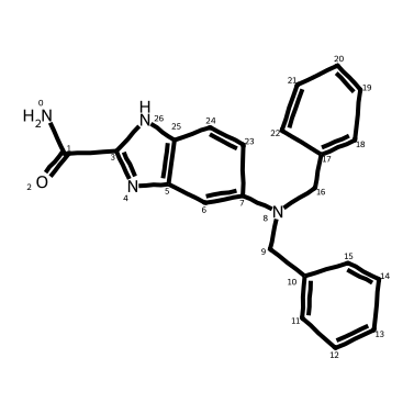 NC(=O)c1nc2cc(N(Cc3ccccc3)Cc3ccccc3)ccc2[nH]1